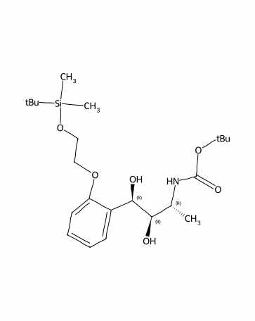 C[C@@H](NC(=O)OC(C)(C)C)[C@@H](O)[C@H](O)c1ccccc1OCCO[Si](C)(C)C(C)(C)C